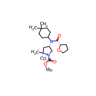 CC1(C)CCC(N(C(=O)[C@@H]2CCCO2)[C@@H]2CN(C(=O)OC(C)(C)C)[C@](C)(C(=O)O)C2)CC1